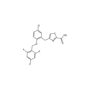 O=C(O)c1nc(Cc2cc(Cl)ccc2OCc2c(F)cc(F)cc2F)cs1